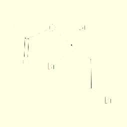 CC(=O)OC(Br)(Br)CCBr